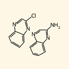 Clc1cnc2ccccc2n1.Nc1cnc2ccccc2n1